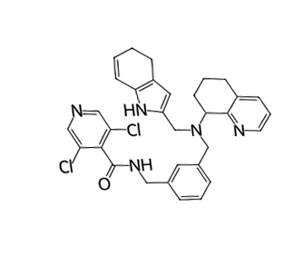 O=C(NCc1cccc(CN(Cc2cc3c([nH]2)C=CCC3)C2CCCc3cccnc32)c1)c1c(Cl)cncc1Cl